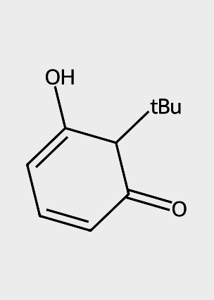 CC(C)(C)C1C(=O)C=CC=C1O